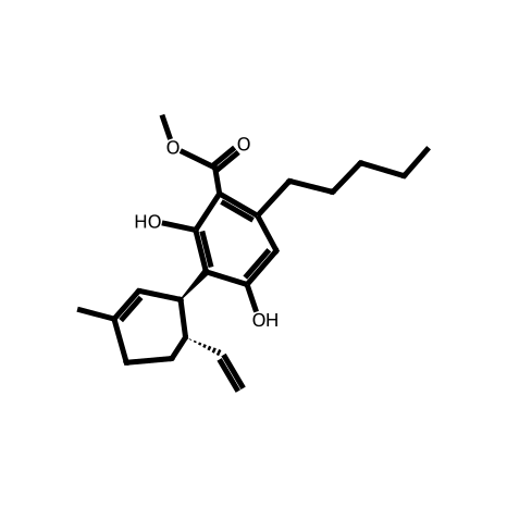 C=C[C@@H]1CCC(C)=C[C@H]1c1c(O)cc(CCCCC)c(C(=O)OC)c1O